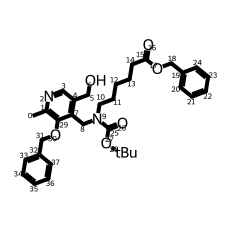 Cc1ncc(CO)c(CN(CCCCCC(=O)OCc2ccccc2)C(=O)OC(C)(C)C)c1OCc1ccccc1